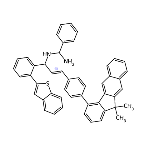 CC1(C)c2cc3ccccc3cc2-c2c(-c3ccc(/C=C/C(NC(N)c4ccccc4)c4ccccc4-c4cc5ccccc5s4)cc3)cccc21